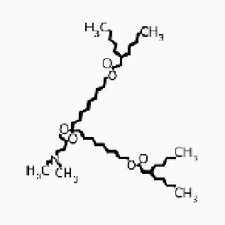 CCCCCC(CCCCC)CC(=O)OCCCCCCCCCC1(CCCCCCCCCOC(=O)CC(CCCCC)CCCCC)OCC(CCN(CC)CC)O1